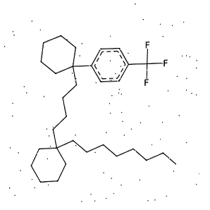 CCCCCCCCC1(CCCCC2(c3ccc(C(F)(F)F)cc3)CCCCC2)CCCCC1